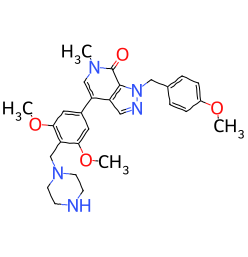 COc1ccc(Cn2ncc3c(-c4cc(OC)c(CN5CCNCC5)c(OC)c4)cn(C)c(=O)c32)cc1